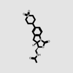 CC(=O)NC[C@@H]1OC(=O)N2c3ccc(C4CCS(=O)(=O)CC4)cc3C[C@@H]12